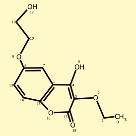 CCOc1c(O)c2cc(OCCO)ccc2oc1=O